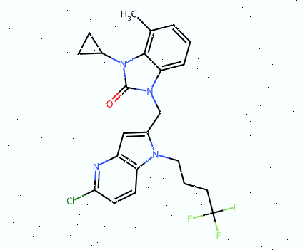 Cc1cccc2c1n(C1CC1)c(=O)n2Cc1cc2nc(Cl)ccc2n1CCCC(F)(F)F